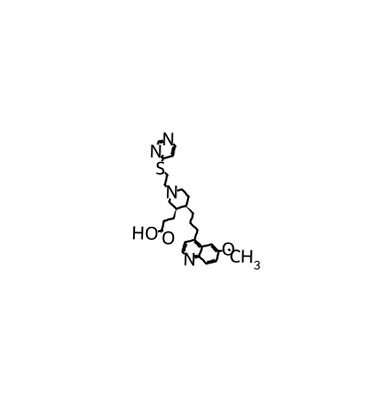 COc1ccc2nccc(CCC[C@@H]3CCN(CCSc4ccncn4)C[C@@H]3CCC(=O)O)c2c1